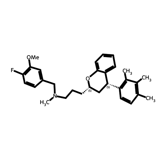 COc1cc(CN(C)CCC[C@H]2C[C@@H](c3ccc(C)c(C)c3C)c3ccccc3O2)ccc1F